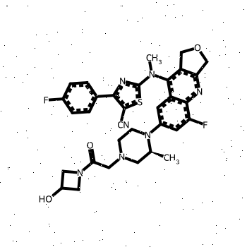 C[C@H]1CN(CC(=O)N2CC(O)C2)CCN1c1cc(F)c2nc3c(c(N(C)c4nc(-c5ccc(F)cc5)c(C#N)s4)c2c1)COC3